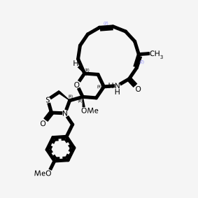 COc1ccc(CN2C(=O)SC[C@H]2[C@@]2(OC)C[C@H]3C[C@@H](CCC/C=C\CC/C(C)=C\C(=O)N3)O2)cc1